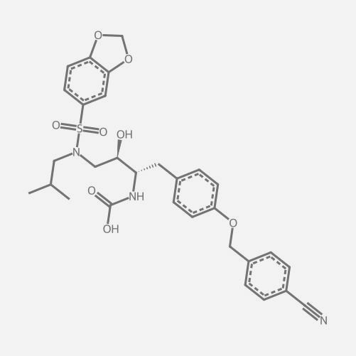 CC(C)CN(C[C@@H](O)[C@H](Cc1ccc(OCc2ccc(C#N)cc2)cc1)NC(=O)O)S(=O)(=O)c1ccc2c(c1)OCO2